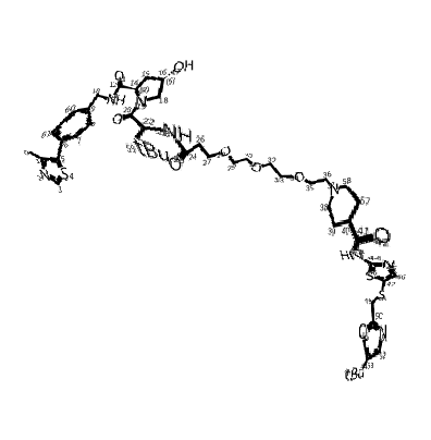 Cc1ncsc1-c1ccc(CNC(=O)[C@H]2C[C@H](O)CN2C(=O)C(NC(=O)CCOCCOCCOCCN2CCC(C(=O)Nc3ncc(SCc4ncc(C(C)(C)C)o4)s3)CC2)C(C)(C)C)cc1